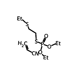 C=CC#N.CCOP(=O)(OCC)SCCSCC